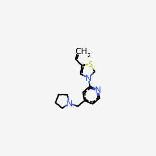 C=CC1=CN(c2cc(CN3CCCC3)ccn2)CS1